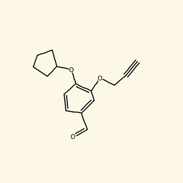 C#CCOc1cc(C=O)ccc1OC1CCCC1